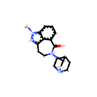 CC(C)n1nc2c3c(cccc31)C(=O)N(C1CN3CCC1CC3)CC2